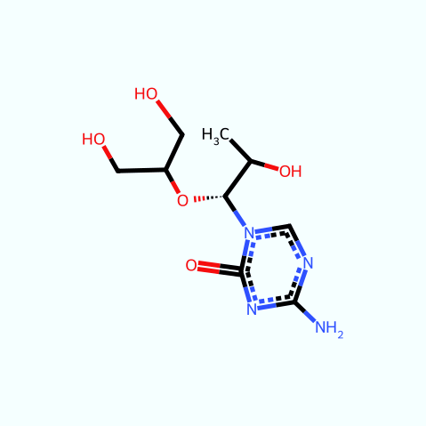 CC(O)[C@@H](OC(CO)CO)n1cnc(N)nc1=O